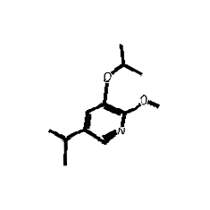 COc1ncc(C(C)C)cc1OC(C)C